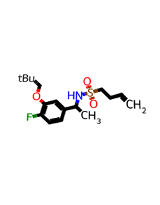 C=CCCS(=O)(=O)NC(C)c1ccc(F)c(OCC(C)(C)C)c1